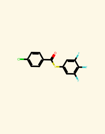 O=C(Sc1cc(F)c(F)c(F)c1)c1ccc(Cl)cc1